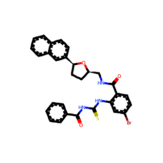 O=C(NC(=S)Nc1cc(Br)ccc1C(=O)NC[C@H]1CC[C@@H](c2ccc3ccccc3c2)O1)c1ccccc1